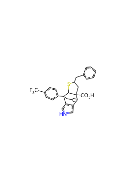 O=C(O)C12CC(Cc3ccccc3)SC1C1(c3ccc(C(F)(F)F)cc3)CCC2c2c[nH]cc21